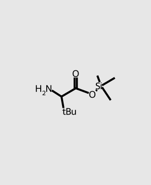 CC(C)(C)C(N)C(=O)O[Si](C)(C)C